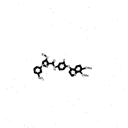 CCOc1cn(-c2cccc([N+](=O)[O-])c2)nc1C(=O)Nc1ccc(Oc2ccnc3c(OC)c(OC)ccc23)c(F)c1